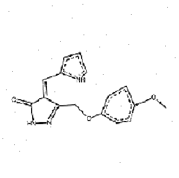 COc1ccc(OCC2=NNC(=O)/C2=C/c2ccc[nH]2)cc1